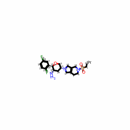 CC(C)CS(=O)(=O)N1CCC2=C(CN([C@H]3CO[C@H](c4cc(F)ccc4F)[C@@H](N)C3)C2)C1